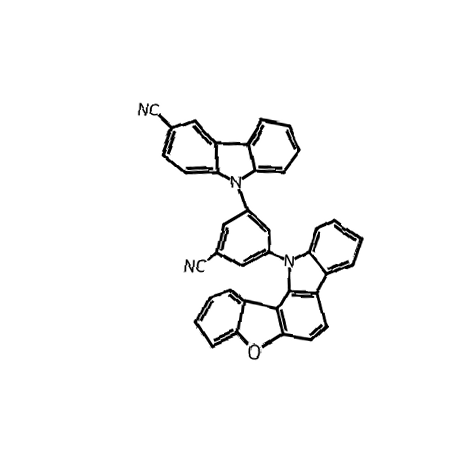 N#Cc1cc(-n2c3ccccc3c3cc(C#N)ccc32)cc(-n2c3ccccc3c3ccc4oc5ccccc5c4c32)c1